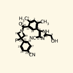 Cc1cc(C)c(-c2[nH]c(CO)nc2C#N)cc1C(=O)N1CC(F)(c2ccc(C#N)cc2)C1